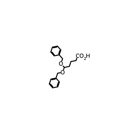 O=C(O)CCCC(OCc1ccccc1)OCc1ccccc1